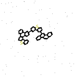 c1ccc2c(c1)ccc1c3ccccc3c(-c3ccc4sc5ccc(-c6ccc7c(c6)c6ccccc6c6ccc8sc9ccccc9c8c67)cc5c4c3)cc21